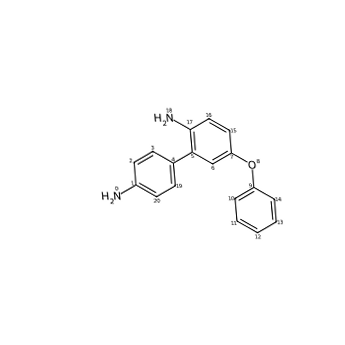 Nc1ccc(-c2cc(Oc3ccccc3)ccc2N)cc1